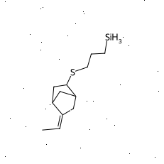 C/C=C1/CC2CC1CC2SCCC[SiH3]